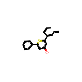 C=C/C=C(\C=C/C)c1cc(=O)cc(-c2ccccc2)s1